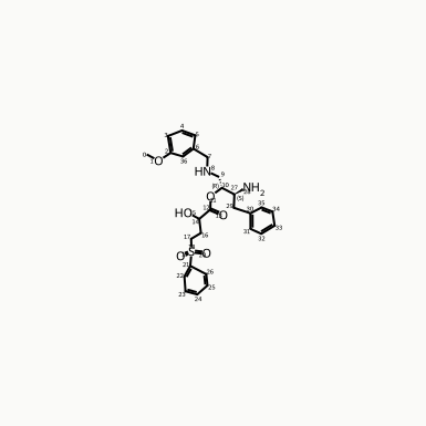 COc1cccc(CNC[C@@H](OC(=O)C(O)CCS(=O)(=O)c2ccccc2)[C@@H](N)Cc2ccccc2)c1